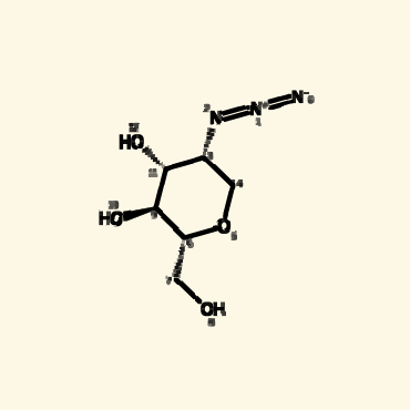 [N-]=[N+]=N[C@@H]1[CH]O[C@H](CO)[C@@H](O)[C@@H]1O